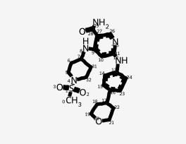 CS(=O)(=O)N1CCC(Nc2cc(Nc3ccc(C4CCOCC4)cc3)ncc2C(N)=O)CC1